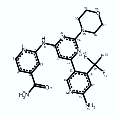 NC(=O)c1ccnc(Nc2cc(-c3cnc(N)cc3C(F)(F)F)nc(N3CCOCC3)n2)c1